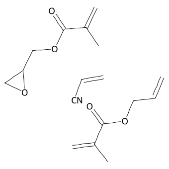 C=C(C)C(=O)OCC1CO1.C=CC#N.C=CCOC(=O)C(=C)C